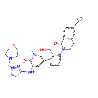 Cn1cc(-c2cccc(N3CCc4cc(C5CC5)ccc4C3=O)c2CO)cc(Nc2ccn(CN3CCOCC3)n2)c1=O